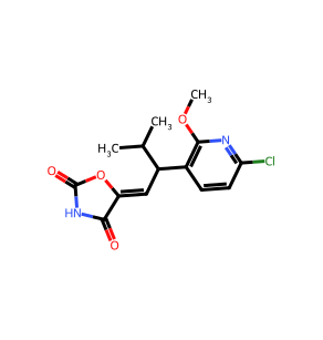 COc1nc(Cl)ccc1C(C=C1OC(=O)NC1=O)C(C)C